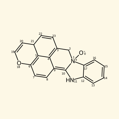 [O-][N+]12CC3=c4c5c(ccc4=C1Nc1ccccc12)OC=CC5C=C3